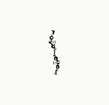 c1cc(-c2cnc(-c3ccc(OCC4CO4)cc3)[nH]2)ccc1OCCCCOc1ccc(-c2ncc(-c3ccc(OCC4CO4)cc3)[nH]2)cc1